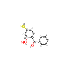 O=C(c1ccccc1)c1ccc(S)cc1O